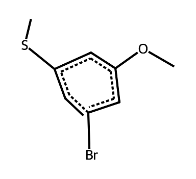 COc1cc(Br)cc(SC)c1